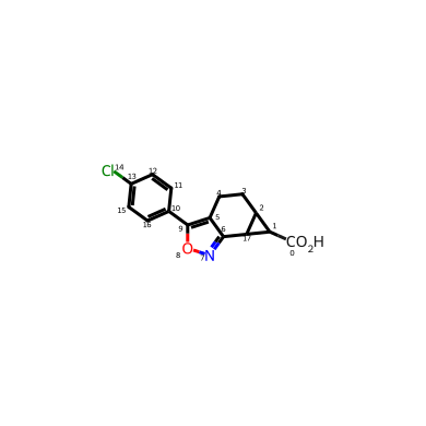 O=C(O)C1C2CCc3c(noc3-c3ccc(Cl)cc3)C21